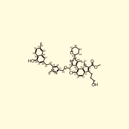 COC(=O)c1c(CCCO)c2ccc(Cl)c(-c3c(COCc4cc(CCc5cc(O)c6ccc(F)cc6c5)n(C)n4)nn(C4CCCCO4)c3C)c2n1C